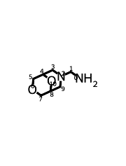 NCN1CC2COCC(C1)O2